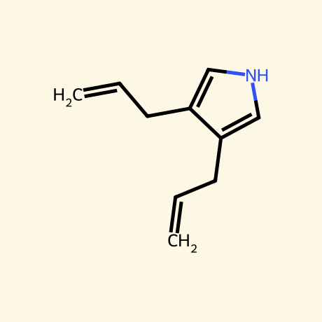 C=CCc1c[nH]cc1CC=C